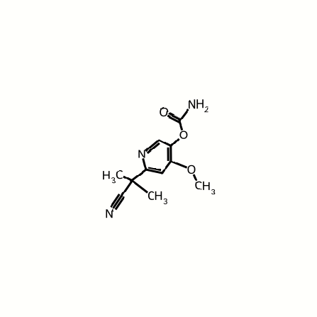 COc1cc(C(C)(C)C#N)ncc1OC(N)=O